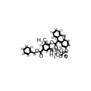 COP(=O)(OC)Oc1ccc2nc3ccccc3c(C(=O)Oc3c(C)cc(C(=O)OCc4ccccc4)cc3C)c2c1